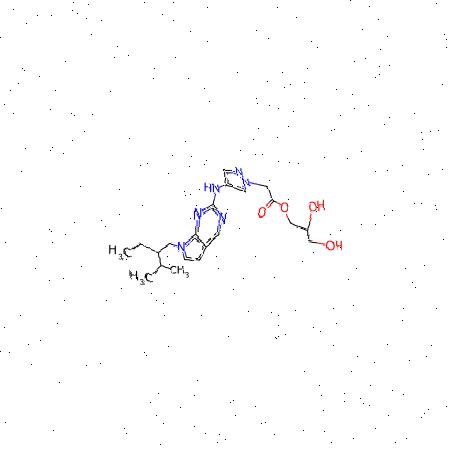 CCC(Cn1ccc2cnc(Nc3cnn(CC(=O)OCC(O)CO)c3)nc21)C(C)C